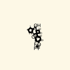 ON=C1CCC[C@@H]1C(O)C1(c2ccc(OC(F)(F)F)cc2)CCC1